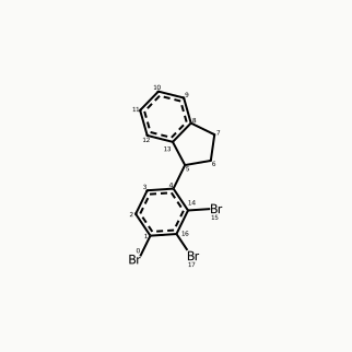 Brc1ccc(C2CCc3ccccc32)c(Br)c1Br